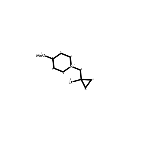 CCC1(CN2CCC(OC)CC2)CC1